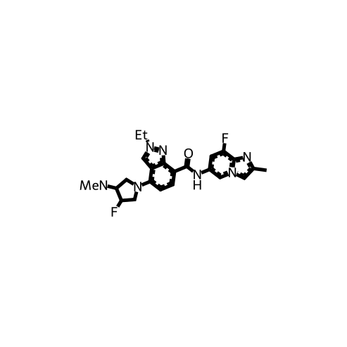 CCn1cc2c(N3CC(F)C(NC)C3)ccc(C(=O)Nc3cc(F)c4nc(C)cn4c3)c2n1